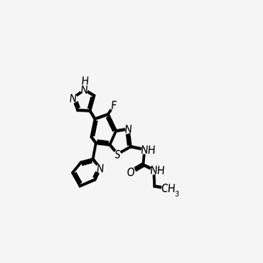 CCNC(=O)Nc1nc2c(F)c(-c3cn[nH]c3)cc(-c3ccccn3)c2s1